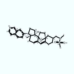 CN(CC1CCC2=CC3=CC[C@]4(C)[C@@H](c5ccc6ccncc6c5)CC[C@H]4[C@@]34CC[C@]2(C1)O4)S(C)(=O)=O